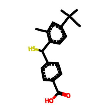 Cc1cc(C(C)(C)C)ccc1C(S)c1ccc(C(=O)O)cc1